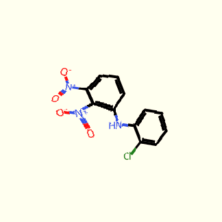 O=[N+]([O-])c1cccc(Nc2ccccc2Cl)c1[N+](=O)[O-]